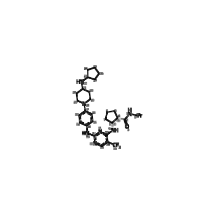 CC(C)NC(=O)[C@H]1CCC[C@H]1Nc1nc(Nc2ccc(N3CCC(NC4CCCC4)CC3)cc2)ncc1C(F)(F)F